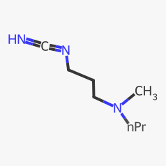 CCCN(C)CCCN=C=N